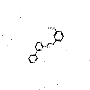 O=C(O)c1cccc(CCNc2nccc(-c3cccnc3)n2)c1